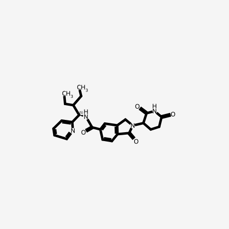 CCC(CC)[C@H](NC(=O)c1ccc2c(c1)CN(C1CCC(=O)NC1=O)C2=O)c1ccccn1